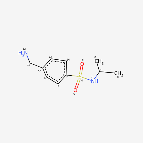 [CH2]C(C)NS(=O)(=O)c1ccc(CN)cc1